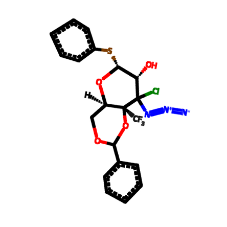 [N-]=[N+]=NC1(Cl)[C@@H](O)[C@@H](Sc2ccccc2)O[C@@H]2COC(c3ccccc3)O[C@]21C(F)(F)F